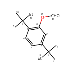 CCC(C)(C)c1ccc(C(C)(C)CC)c(OC=O)c1